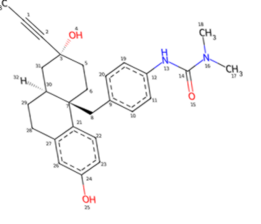 CC#C[C@@]1(O)CC[C@]2(Cc3ccc(NC(=O)N(C)C)cc3)c3ccc(O)cc3CC[C@H]2C1